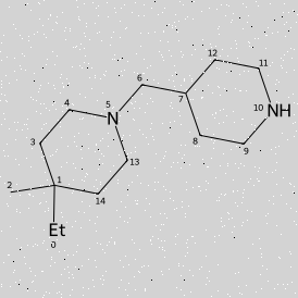 CCC1(C)CCN(CC2CCNCC2)CC1